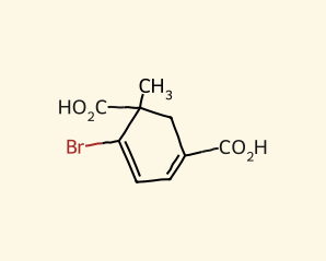 CC1(C(=O)O)CC(C(=O)O)=CC=C1Br